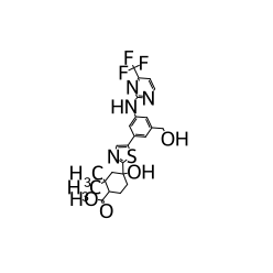 CC1(C)CC(O)(c2ncc(-c3cc(CO)cc(Nc4nccc(C(F)(F)F)n4)c3)s2)CCC1C(=O)O